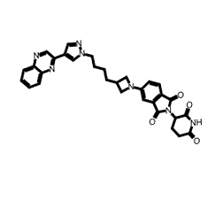 O=C1CCC(N2C(=O)c3ccc(N4CC(CCCCn5cc(-c6cnc7ccccc7n6)cn5)C4)cc3C2=O)C(=O)N1